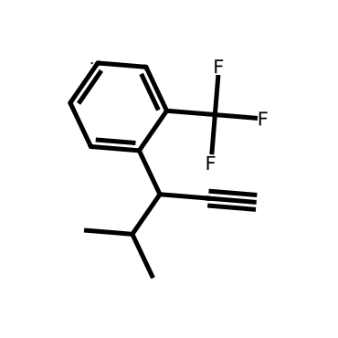 C#CC(c1cc[c]cc1C(F)(F)F)C(C)C